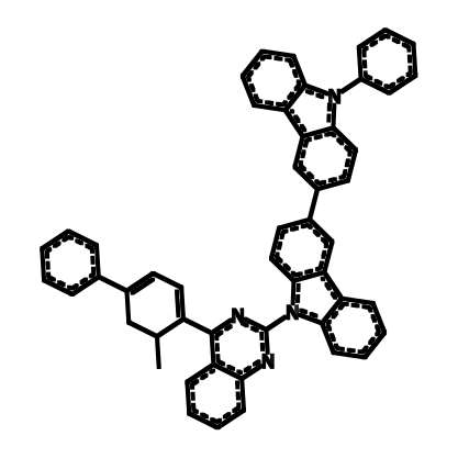 CC1CC(c2ccccc2)=CC=C1c1nc(-n2c3ccccc3c3cc(-c4ccc5c(c4)c4ccccc4n5-c4ccccc4)ccc32)nc2ccccc12